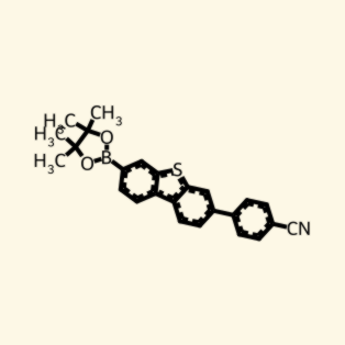 CC1(C)OB(c2ccc3c(c2)sc2cc(-c4ccc(C#N)cc4)ccc23)OC1(C)C